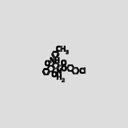 Cc1ccc(Nc2cc(C(=O)OC3CCC4CC(Cl)CCC4C3)c(N)c3c2C(=O)c2ccccc2C3=O)cc1